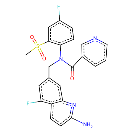 CS(=O)(=O)c1cc(F)ccc1N(Cc1cc(F)c2ccc(N)nc2c1)C(=O)c1cccnc1